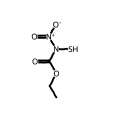 CCOC(=O)N(S)[N+](=O)[O-]